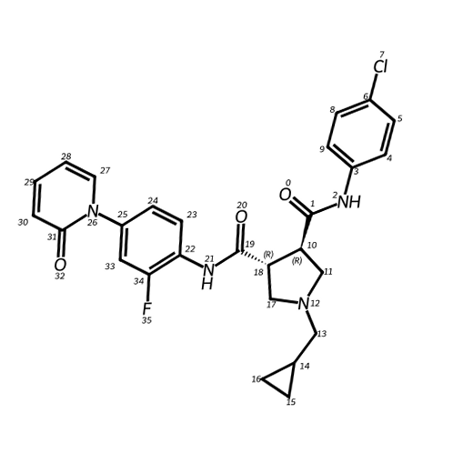 O=C(Nc1ccc(Cl)cc1)[C@H]1CN(CC2CC2)C[C@@H]1C(=O)Nc1ccc(-n2ccccc2=O)cc1F